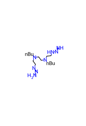 CCCCN(CCN=NN)CCN(CCCC)CCNN=N